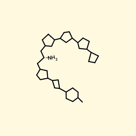 CC1CCC(C2CC(C3CCC(C[C@@H](N)CC4CCC(C5CCC(C6CCC(C7CCC7)C6)C5)C4)C3)C2)CC1